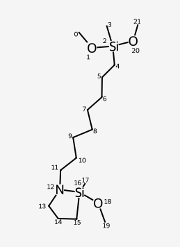 CO[Si](C)(CCCCCCCCN1CCC[Si]1(C)OC)OC